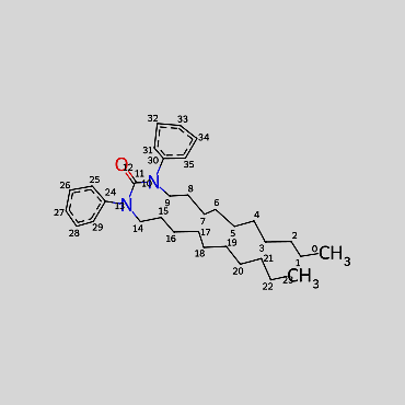 CCCCCCCCCCN(C(=O)N(CCCCCCCCCC)c1ccccc1)c1ccccc1